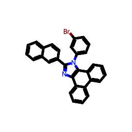 Brc1cccc(-n2c(-c3ccc4ccccc4c3)nc3c4ccccc4c4ccccc4c32)c1